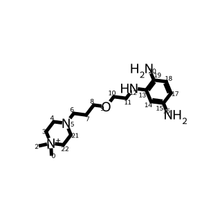 C[N+]1(C)CCN(CCCOCCNc2cc(N)ccc2N)CC1